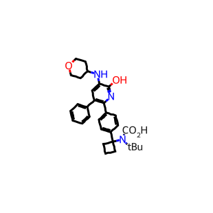 CC(C)(C)N(C(=O)O)C1(c2ccc(-c3nc(O)c(NC4CCOCC4)cc3-c3ccccc3)cc2)CCC1